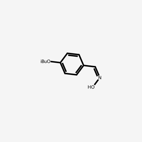 CC(C)COc1ccc(/C=N\O)cc1